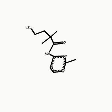 Cc1nccc(NC(=O)C(C)(C)CCC(C)(C)C)n1